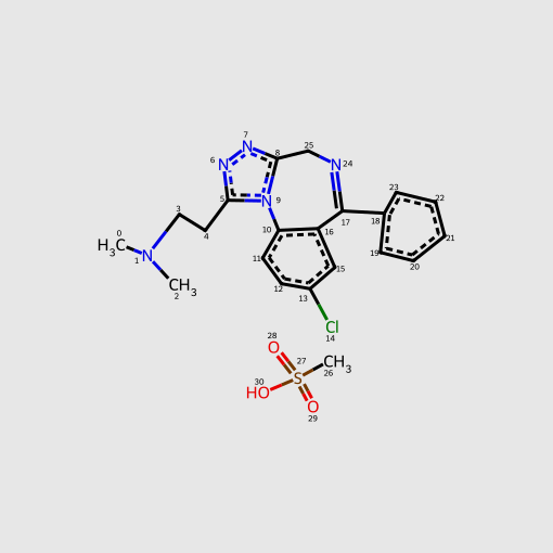 CN(C)CCc1nnc2n1-c1ccc(Cl)cc1C(c1ccccc1)=NC2.CS(=O)(=O)O